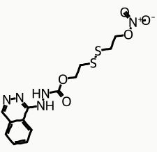 O=C(NNc1nncc2ccccc12)OCCSSCCO[N+](=O)[O-]